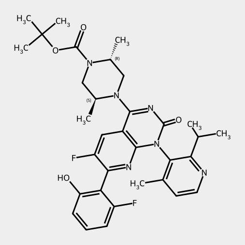 Cc1ccnc(C(C)C)c1-n1c(=O)nc(N2C[C@@H](C)N(C(=O)OC(C)(C)C)C[C@@H]2C)c2cc(F)c(-c3c(O)cccc3F)nc21